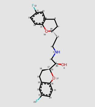 O[C@H](CNCC[C@H]1CCc2cc(F)ccc2O1)[C@@H]1CCc2cc(F)ccc2O1